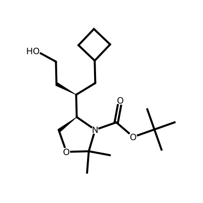 CC(C)(C)OC(=O)N1[C@H]([C@@H](CCO)CC2CCC2)COC1(C)C